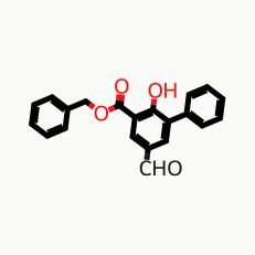 O=Cc1cc(C(=O)OCc2ccccc2)c(O)c(-c2ccccc2)c1